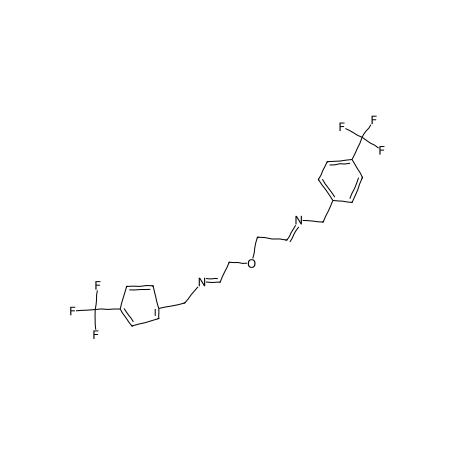 FC(F)(F)c1ccc(CN=CCOCC=NCc2ccc(C(F)(F)F)cc2)cc1